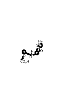 O=C(O)CCCOc1ccccc1C#CC(=O)NCc1ccc2c(c1)CN(C1CCC(=O)NC1=O)C2=O